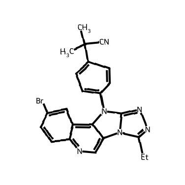 CCc1nnc2n(-c3ccc(C(C)(C)C#N)cc3)c3c4cc(Br)ccc4ncc3n12